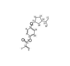 C=C(C)C(=O)Oc1ccc(OC2CCC(C(C)C)C2)cc1